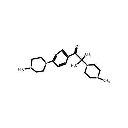 CN1CCN(c2ccc(C(=O)C(C)(C)N3CCN(C)CC3)cc2)CC1